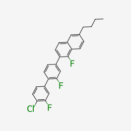 CCCCc1ccc2c(F)c(-c3ccc(-c4ccc(Cl)c(F)c4)c(F)c3)ccc2c1